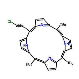 CC(C)(C)c1c2nc(c(C(C)(C)C)c3ccc([nH]3)c(C(C)(C)C)c3nc(c(C(C)(C)C)c4ccc1[nH]4)C=C3)C=C2.[Al][Cl]